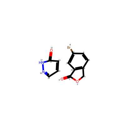 O=C1OCc2ccc(Br)cc21.O=c1cccn[nH]1